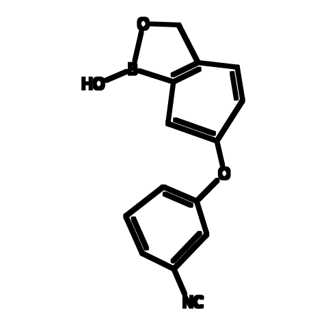 [C-]#[N+]c1cccc(Oc2ccc3c(c2)B(O)OC3)c1